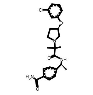 C[C@H](NC(=O)C(C)(C)N1CC[C@@H](Oc2cccc(Cl)c2)C1)c1ccc(C(N)=O)cc1